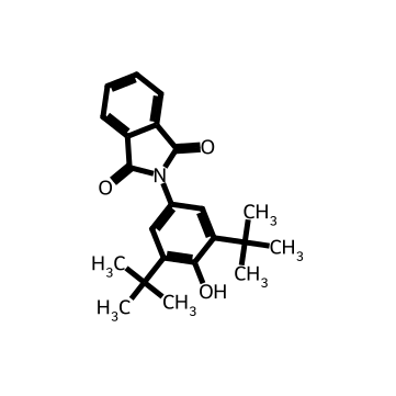 CC(C)(C)c1cc(N2C(=O)c3ccccc3C2=O)cc(C(C)(C)C)c1O